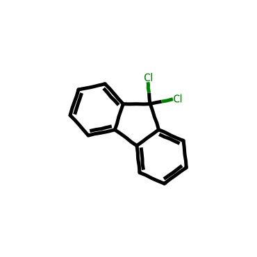 ClC1(Cl)c2ccccc2-c2ccccc21